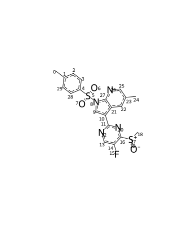 Cc1ccc(S(=O)(=O)n2cc(-c3ncc(F)c([S+](C)[O-])n3)c3cc(C)cnc32)cc1